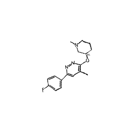 Cc1cc(-c2ccc(F)cc2)nnc1O[C@@H]1CCCN(C)C1